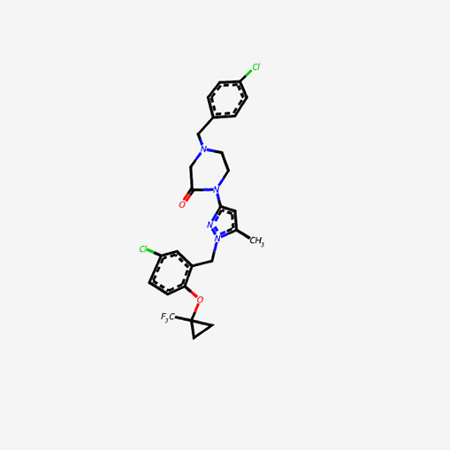 Cc1cc(N2CCN(Cc3ccc(Cl)cc3)CC2=O)nn1Cc1cc(Cl)ccc1OC1(C(F)(F)F)CC1